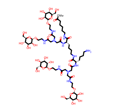 COC(=O)CCCCCNC(=O)[C@H](CCCCNC(=O)[C@H](CCCCN)NC(=O)CN(CC(=O)NCCO[C@H]1O[C@H](CO)[C@@H](O)[C@H](O)[C@@H]1O)CC(=O)NCCO[C@H]1O[C@H](CO)[C@@H](O)[C@H](O)[C@@H]1O)NC(=O)CN(CC(=O)NCCO[C@H]1O[C@H](CO)[C@@H](O)[C@H](O)[C@@H]1O)CC(=O)NCCO[C@H]1O[C@H](CO)[C@@H](O)[C@H](O)[C@@H]1O